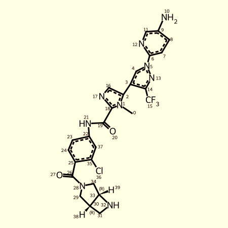 Cn1c(-c2cn(-c3ccc(N)cn3)nc2C(F)(F)F)cnc1C(=O)Nc1ccc(C(=O)N2C[C@H]3CN[C@H]3C2)c(Cl)c1